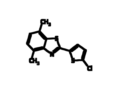 Cc1ccc(C)c2sc(-c3ccc(Cl)s3)nc12